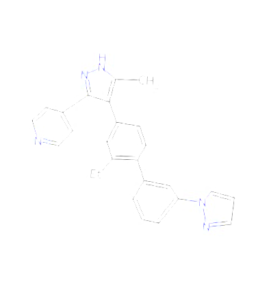 CCc1cc(-c2c(-c3ccncc3)n[nH]c2C)ccc1-c1cccc(-n2cccn2)c1